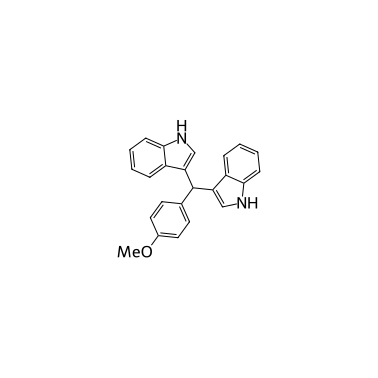 COc1ccc(C(c2c[nH]c3ccccc23)c2c[nH]c3ccccc23)cc1